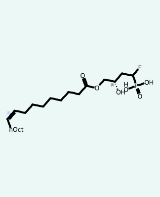 CCCCCCCC/C=C\CCCCCCCC(=O)OC[C@@H](O)CC(F)P(=O)(O)O